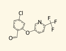 O=Cc1ccc(Cl)cc1Oc1ccc(C(F)(F)F)nc1